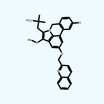 CC(C)(C)Sc1c(CC(C)(C)C(=O)O)n2c3c(cc(OCc4ccc5ccccc5n4)cc13)-c1cc(Cl)ccc1C2